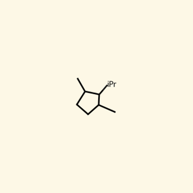 CC(C)C1C(C)CCC1C